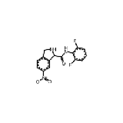 O=C(Nc1c(F)cccc1F)C1NCc2ccc([N+](=O)[O-])cc21